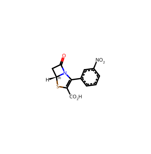 O=C(O)C1=C(c2cccc([N+](=O)[O-])c2)N2C(=O)C[C@H]2S1